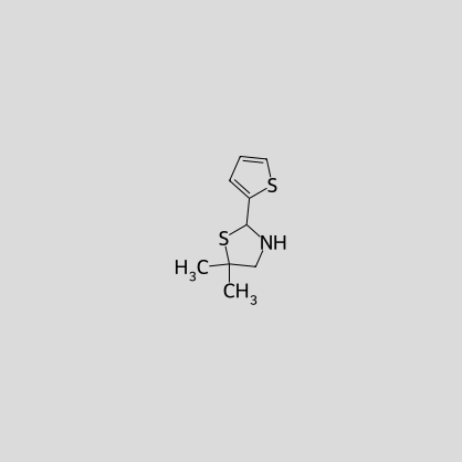 CC1(C)CNC(c2cccs2)S1